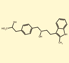 Cc1[nH]c2ccccc2c1CCN(O)Cc1ccc(CC(O)C(=O)O)cc1